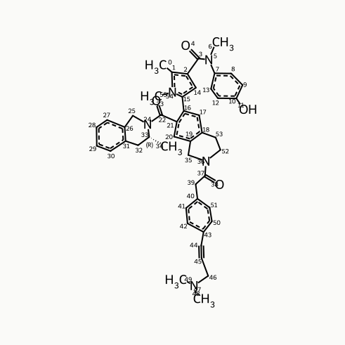 Cc1c(C(=O)N(C)c2ccc(O)cc2)cc(-c2cc3c(cc2C(=O)N2Cc4ccccc4C[C@H]2C)CN(C(=O)Cc2ccc(C#CCN(C)C)cc2)CC3)n1C